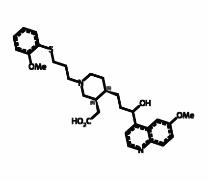 COc1ccc2nccc(C(O)CC[C@@H]3CCN(CCCSc4ccccc4OC)C[C@@H]3CC(=O)O)c2c1